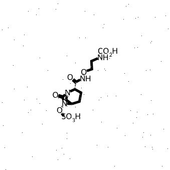 O=C(O)NCCONC(=O)[C@@H]1CCC2CN1C(=O)N2OS(=O)(=O)O